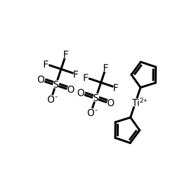 C1=C[CH]([Ti+2][CH]2C=CC=C2)C=C1.O=S(=O)([O-])C(F)(F)F.O=S(=O)([O-])C(F)(F)F